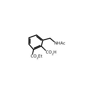 CCOC(=O)c1cccc(CNC(C)=O)c1C(=O)O